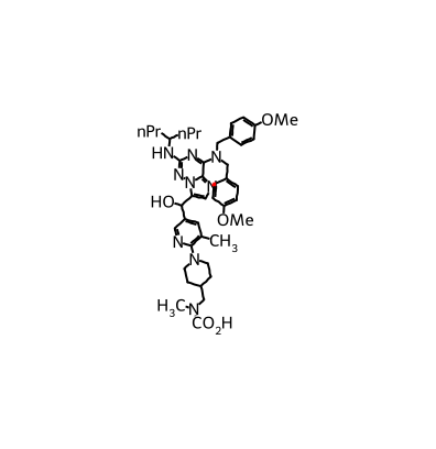 CCCC(CCC)Nc1nc(N(Cc2ccc(OC)cc2)Cc2ccc(OC)cc2)c2ncc(C(O)c3cnc(N4CCC(CN(C)C(=O)O)CC4)c(C)c3)n2n1